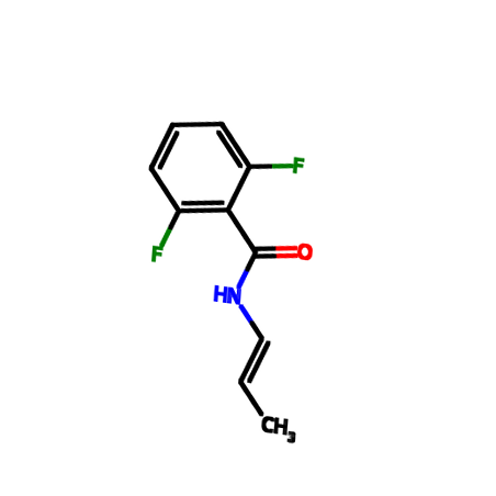 CC=CNC(=O)c1c(F)cccc1F